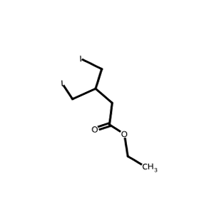 CCOC(=O)CC(CI)CI